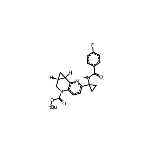 CC(C)(C)OC(=O)N1C[C@@H]2C[C@@H]2c2nc(C3(NC(=O)c4ccc(F)cc4)CC3)ccc21